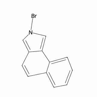 Brn1cc2ccc3ccccc3c2c1